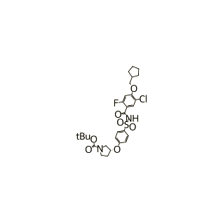 CC(C)(C)OC(=O)N1CC[C@@H](Oc2ccc(S(=O)(=O)NC(=O)c3cc(Cl)c(OCC4CCCC4)cc3F)cc2)C1